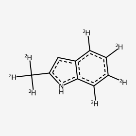 [2H]c1c([2H])c([2H])c2[nH]c(C([2H])([2H])[2H])cc2c1[2H]